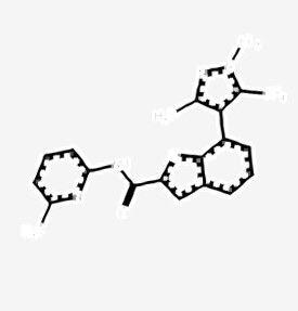 Cc1cccc(NC(=O)c2cc3cccc(-c4c(C)nn(C)c4C)c3o2)n1